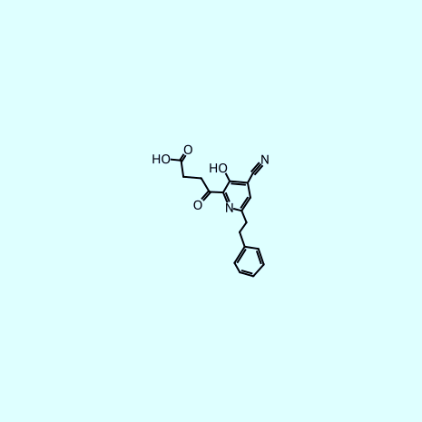 N#Cc1cc(CCc2ccccc2)nc(C(=O)CCC(=O)O)c1O